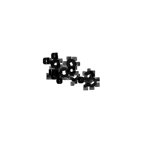 C[C@@H](COc1ccnc2c1[C@H](C)CCC2)C[C@H]1Cc2ccccc2C12CCC(Nc1ccc(Cl)c(Cl)c1)(C(=O)O)CC2